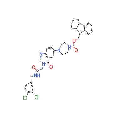 O=C(Cn1cnc2ccc(N3CCN(C(=O)OCC4c5ccccc5-c5ccccc54)CC3)cc2c1=O)NCc1ccc(Cl)c(Cl)c1